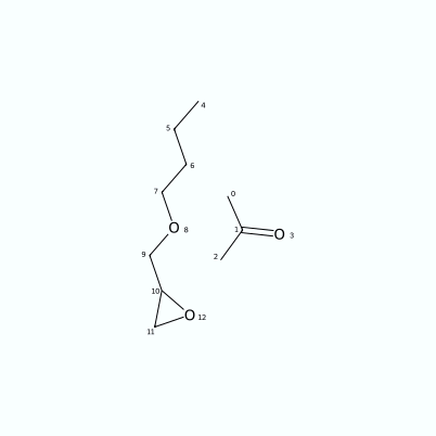 CC(C)=O.CCCCOCC1CO1